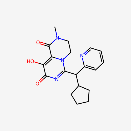 CN1CCn2c(C(c3ccccn3)C3CCCC3)nc(=O)c(O)c2C1=O